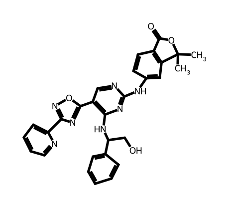 CC1(C)OC(=O)c2ccc(Nc3ncc(-c4nc(-c5ccccn5)no4)c(NC(CO)c4ccccc4)n3)cc21